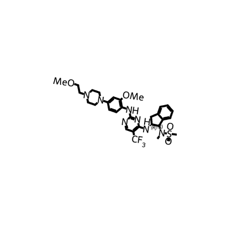 COCCN1CCN(c2ccc(Nc3ncc(C(F)(F)F)c(N[C@@H]4Cc5ccccc5[C@H]4N(C)S(C)(=O)=O)n3)c(OC)c2)CC1